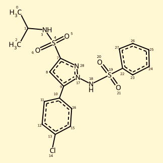 CC(C)NS(=O)(=O)c1cc(-c2ccc(Cl)cc2)n(NS(=O)(=O)c2ccccc2)n1